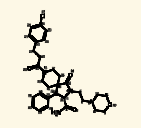 NC(=O)[C@H]1N(CCN2CCOCC2)C(=O)C2(CCN(C(=O)[CH]Cc3ccc(Cl)cc3)CC2)N1c1ccccc1